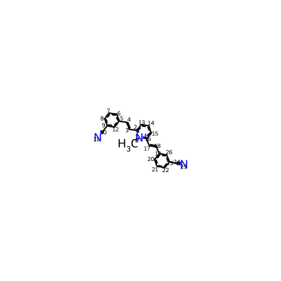 C[n+]1c(/C=C/c2cccc(C#N)c2)cccc1/C=C/c1cccc(C#N)c1